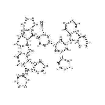 N#Cc1cc(-c2nc(-c3ccccc3)nc(-n3c4ccccc4c4ccccc43)n2)ccc1-n1c2ccccc2c2ccc3c4ccc5c(c6ccccc6n5-c5ccccc5)c4oc3c21